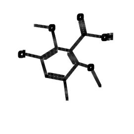 COc1c(C)cc(Cl)c(OC)c1C(=O)O